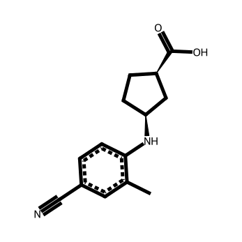 Cc1cc(C#N)ccc1N[C@H]1CC[C@@H](C(=O)O)C1